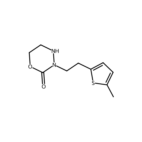 Cc1ccc(CCN2NCCOC2=O)s1